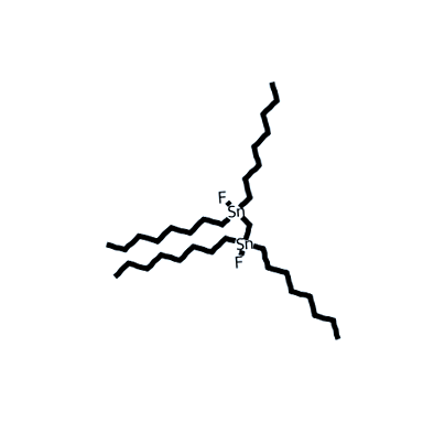 CCCCCCC[CH2][Sn]([F])([CH2]CCCCCCC)[CH2][Sn]([F])([CH2]CCCCCCC)[CH2]CCCCCCC